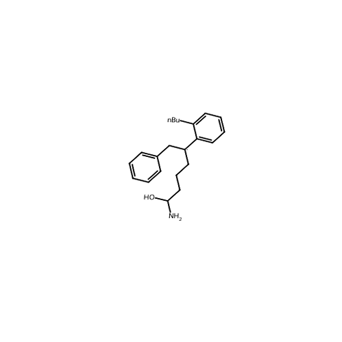 CCCCc1ccccc1[C](CCCC(N)O)Cc1ccccc1